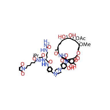 CO[C@H]1/C=C/O[C@@]2(C)Oc3c(C)c(O)c4c(=O)c(c5oc6cc(N7CC[N+](C)(Cc8ccc(NC(=O)[C@H](CCCNC(N)=O)NC(=O)[C@@H](NC(=O)CCCCCN9C(=O)C=CC9=O)C(C)C)cc8)CC7)cc(O)c6nc-5c4c3C2=O)NC(=O)/C(C)=C\C=C\[C@H](C)[C@H](O)[C@@H](C)[C@@H](O)[C@@H](C)[C@H](OC(C)=O)[C@@H]1C